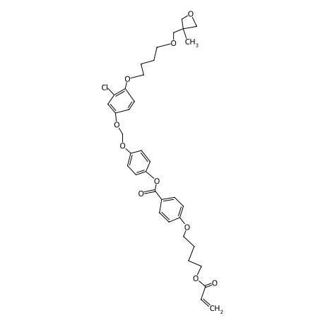 C=CC(=O)OCCCCOc1ccc(C(=O)Oc2ccc(OCOc3ccc(OCCCCOCC4(C)COC4)c(Cl)c3)cc2)cc1